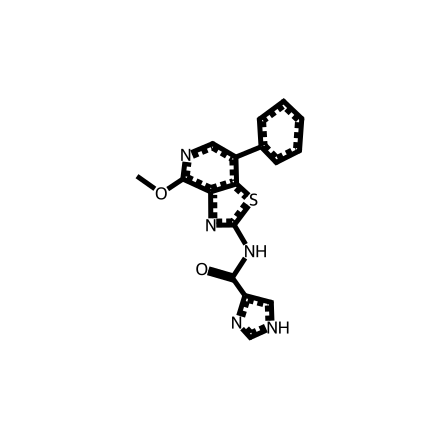 COc1ncc(-c2ccccc2)c2sc(NC(=O)c3c[nH]cn3)nc12